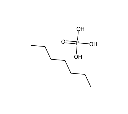 CCCCCCC.O=P(O)(O)O